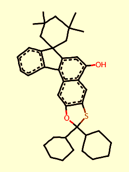 CC1(C)CC(C)(C)CC2(C1)c1ccccc1-c1c2cc(O)c2cc3c(cc12)OC(C1CCCCC1)(C1CCCCC1)S3